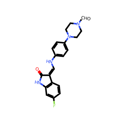 O=CN1CCN(c2ccc(N/C=C3\C(=O)Nc4cc(F)ccc43)cc2)CC1